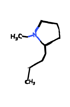 C[CH]CC1CCCN1C